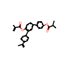 C=C(C)C(=O)Oc1ccc(-c2ccc(OC(=O)C(C)C)cc2)cc1-c1ccc(C(=C)C)cc1